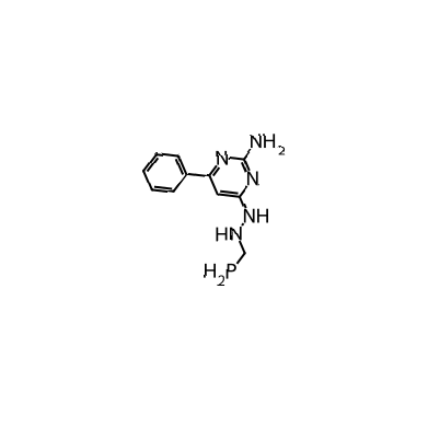 Nc1nc(NNCP)cc(-c2ccccc2)n1